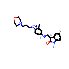 Cc1cc(N/C=C2\C(=O)Nc3ccc(F)cc32)ccc1NCCCN1CCOCC1